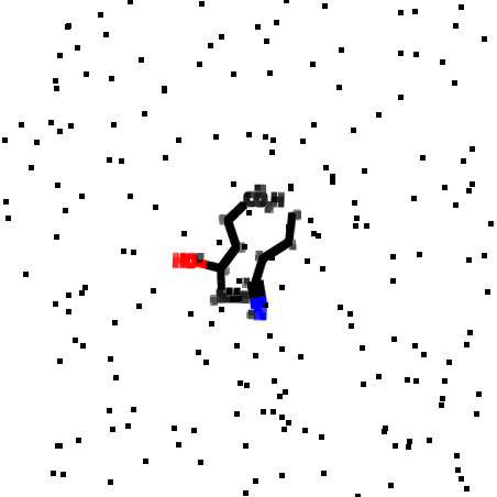 CCCC#N.CSC(O)CCC(=O)O